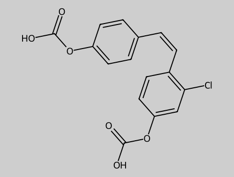 O=C(O)Oc1ccc(/C=C\c2ccc(OC(=O)O)cc2Cl)cc1